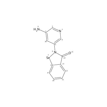 Nc1cncc(-n2[se]c3ccccc3c2=O)c1